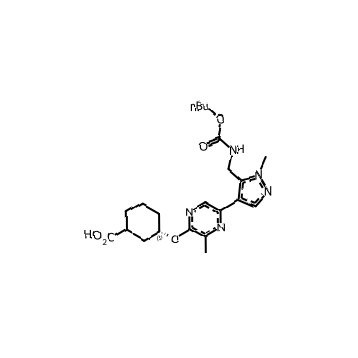 CCCCOC(=O)NCc1c(-c2cnc(O[C@H]3CCCC(C(=O)O)C3)c(C)n2)cnn1C